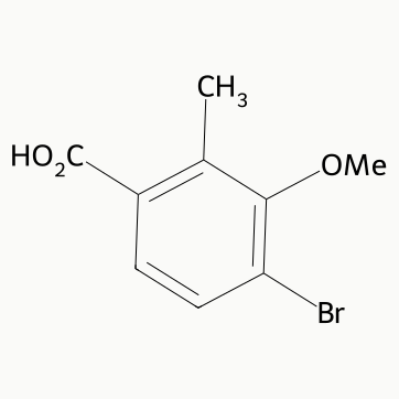 COc1c(Br)ccc(C(=O)O)c1C